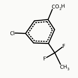 CC(F)(F)c1cc(Cl)cc(C(=O)O)c1